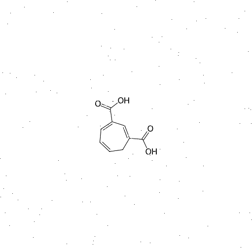 O=C(O)C1=CC=CCC(C(=O)O)=C1